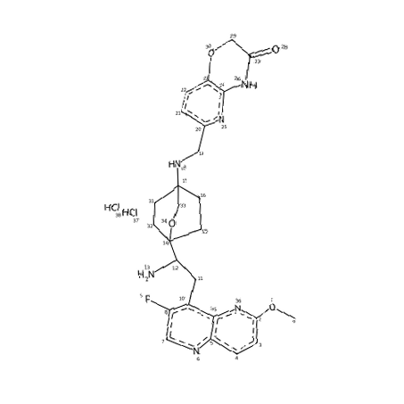 COc1ccc2ncc(F)c(CC(N)C34CCC(NCc5ccc6c(n5)NC(=O)CO6)(CC3)CO4)c2n1.Cl.Cl